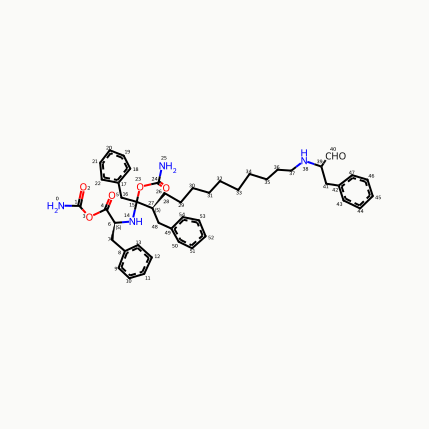 NC(=O)OC(=O)[C@H](Cc1ccccc1)NC(Cc1ccccc1)(OC(N)=O)[C@@H](CCCCCCCCCCNC(C=O)Cc1ccccc1)Cc1ccccc1